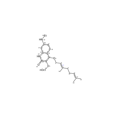 CCCCCCCCOc1c(OC/C=C(\C)CCC=C(C)C)c2ccc(NCC)cc2[nH]c1=O